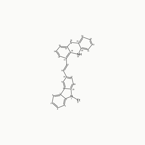 CCn1c2ccccc2c2cc(C=Cc3cccc4c3Nc3ccccc3S4)ccc21